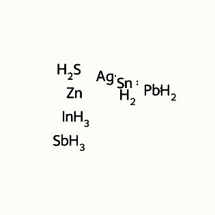 S.[Ag].[InH3].[PbH2].[SbH3].[SnH2].[Zn]